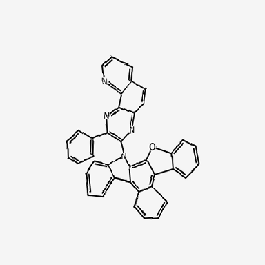 c1ccc(-c2nc3c(ccc4cccnc43)nc2-n2c3ccccc3c3c4ccccc4c4c5ccccc5oc4c32)cc1